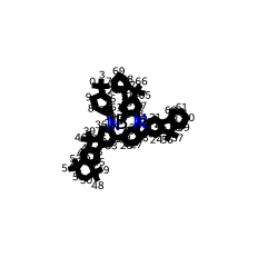 CC(C)(C)C1=CC2C(C=C1)C2N1B2c3cc4c(cc3-n3c5cc6c(cc5c5ccc(c2c53)-c2cc3c(cc21)C(C)(C)c1cc2c(cc1-3)C(C)(C)CCC2(C)C)C(C)(C)c1ccccc1-6)C(C)(C)c1ccccc1-4